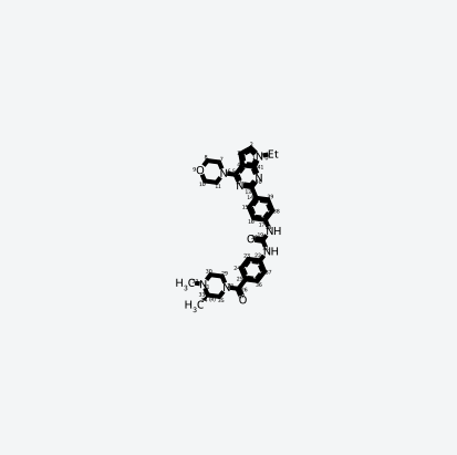 CCn1ccc2c(N3CCOCC3)nc(-c3ccc(NC(=O)Nc4ccc(C(=O)N5CCN(C)[C@H](C)C5)cc4)cc3)nc21